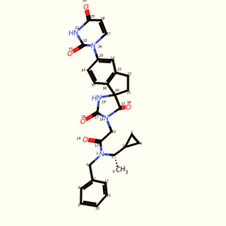 C[C@@H](C1CC1)N(Cc1ccccc1)C(=O)CN1C(=O)NC2(CCc3cc(-n4ccc(=O)[nH]c4=O)ccc32)C1=O